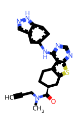 C#CCN(C)C(=O)[C@H]1CCc2c(sc3ncnc(Nc4ccc5[nH]ncc5c4)c23)C1